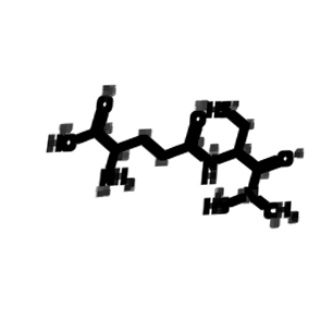 CN(S)C(=O)C(CS)NC(=O)CCC(N)C(=O)O